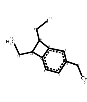 CCc1ccc2c(c1)C(CI)C2CC